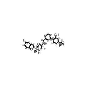 C[C@H](NS(=O)(=O)c1cc2cc(F)ccc2o1)C(=O)NCc1cc(-c2ccc(C(F)(F)F)cc2O)ncn1